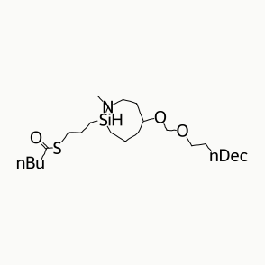 CCCCCCCCCCCCOCOC1CCC[SiH](CCCSC(=O)CCCC)N(C)CC1